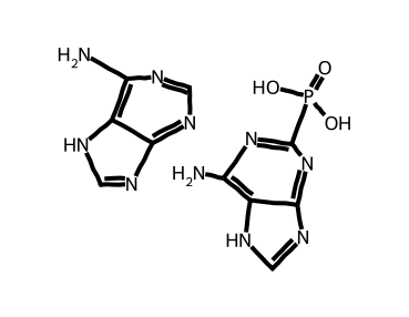 Nc1nc(P(=O)(O)O)nc2nc[nH]c12.Nc1ncnc2nc[nH]c12